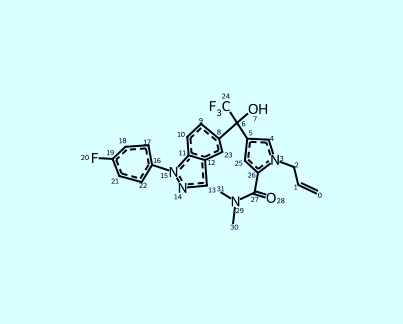 C=CCn1cc(C(O)(c2ccc3c(cnn3-c3ccc(F)cc3)c2)C(F)(F)F)cc1C(=O)N(C)C